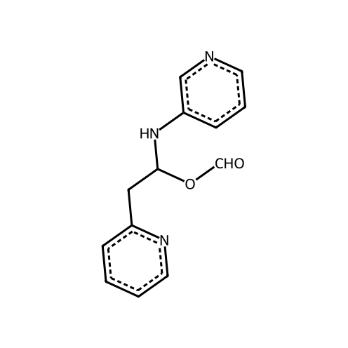 O=COC(Cc1ccccn1)Nc1cccnc1